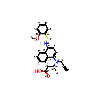 C#CCN(c1ccc(NSc2ccccc2OC)c2ccccc12)[C@@H](C)CC(=O)O